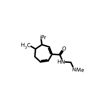 CNCNC(=O)C1=CC(C(C)C)C(C)CC=C1